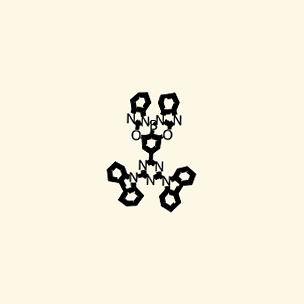 c1ccc2c(c1)nc1n2B2c3c(cc(-c4nc(-n5c6ccccc6c6ccccc65)nc(-n5c6ccccc6c6ccccc65)n4)cc3Oc3nc4ccccc4n32)O1